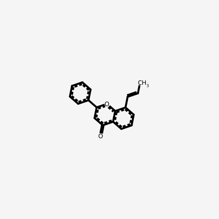 CC=Cc1cccc2c(=O)cc(-c3ccccc3)oc12